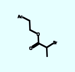 CC(=O)CCOC(=O)C(C)Br